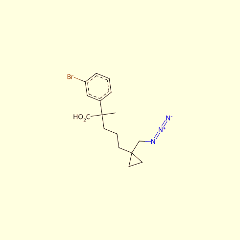 CC(CCCC1(CN=[N+]=[N-])CC1)(C(=O)O)c1cccc(Br)c1